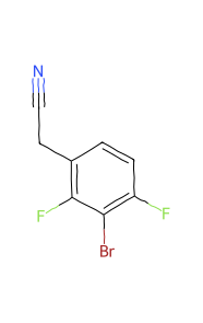 N#CCc1ccc(F)c(Br)c1F